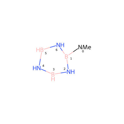 CNB1NBNBN1